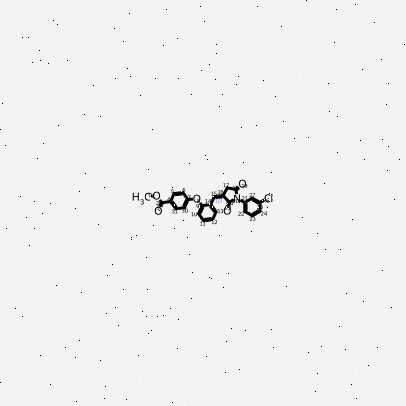 COC(=O)c1ccc(Oc2ccccc2/C=C2/CC(=O)N(c3cccc(Cl)c3)C2=O)cc1